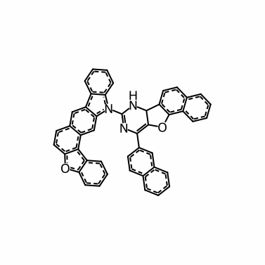 c1ccc2cc(C3=C4Oc5c(ccc6ccccc56)C4NC(n4c5ccccc5c5cc6ccc7oc8ccccc8c7c6cc54)=N3)ccc2c1